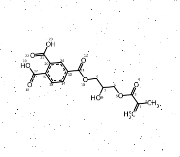 C=C(C)C(=O)OCC(O)COC(=O)c1ccc(C(=O)O)c(C(=O)O)c1